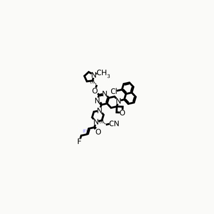 CN1CCC[C@H]1COc1nc2c(c(N3CCN(C(=O)/C=C/CF)[C@@H](CC#N)C3)n1)CC1(COC1)N(c1cccc3cccc(Cl)c13)C2